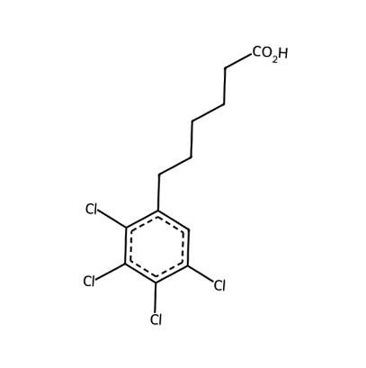 O=C(O)CCCCCc1cc(Cl)c(Cl)c(Cl)c1Cl